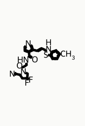 Cc1ccc2c(c1)NC(/C=C/c1cnccc1C(=O)NCC(=O)N1CC(F)(F)CC1C#N)S2